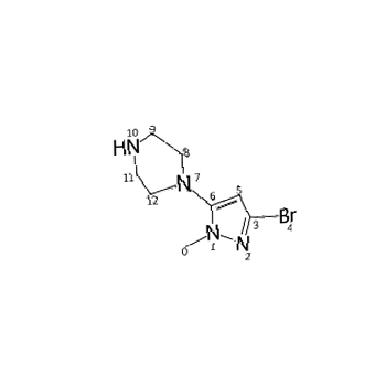 Cn1nc(Br)cc1N1CCNCC1